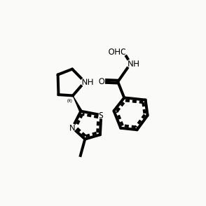 Cc1csc([C@H]2CCCN2)n1.O=CNC(=O)c1ccccc1